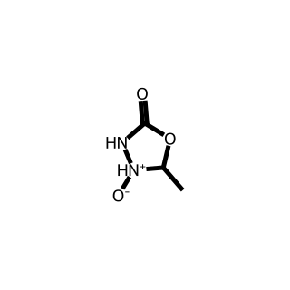 CC1OC(=O)N[NH+]1[O-]